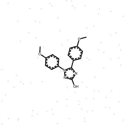 COc1ccc(-c2nc(O)nn2-c2ccc(OC)cc2)cc1